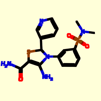 CN(C)S(=O)(=O)c1cccc(N2C(N)=C(C(N)=O)SC2c2cccnc2)c1